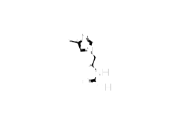 O=C(O)NCCn1cnc(I)c1